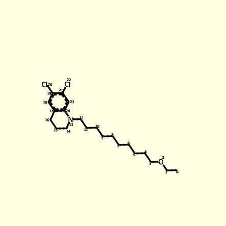 CCOCCCCCCCCCCN1CCCc2cc(Cl)c(Cl)cc21